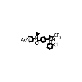 CC(=O)N1CCC(N(C(=O)c2ccc(-c3cc(C(F)(F)F)nn3-c3ccccc3Cl)cc2)C2CC2)CC1